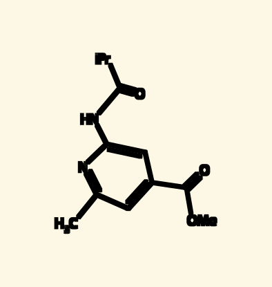 COC(=O)c1cc(C)nc(NC(=O)C(C)C)c1